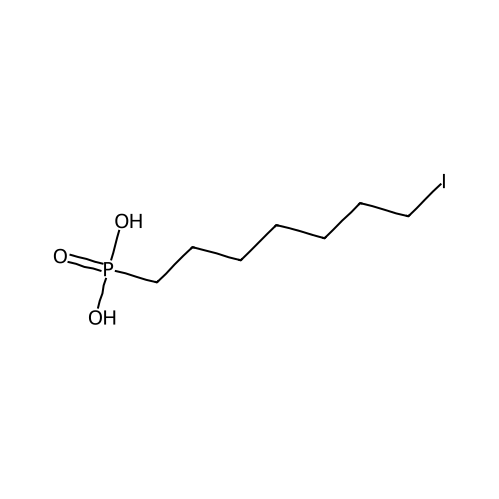 O=P(O)(O)CCCCCCCI